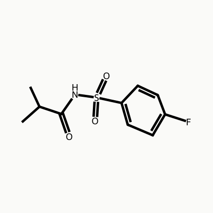 CC(C)C(=O)NS(=O)(=O)c1ccc(F)cc1